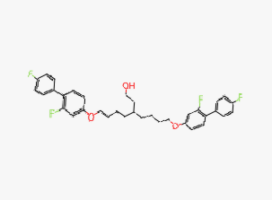 OCCC(CCCCOc1ccc(-c2ccc(F)cc2)c(F)c1)CCCCOc1ccc(-c2ccc(F)cc2)c(F)c1